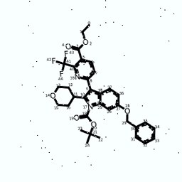 CCOC(=O)c1ccc(-c2c(C3CCOCC3)n(C(=O)OC(C)(C)C)c3cc(OCc4ccccc4)ccc23)nc1C(F)(F)F